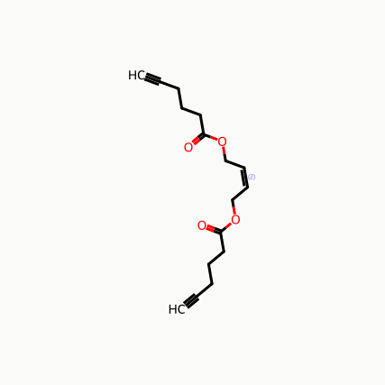 C#CCCCC(=O)OC/C=C\COC(=O)CCCC#C